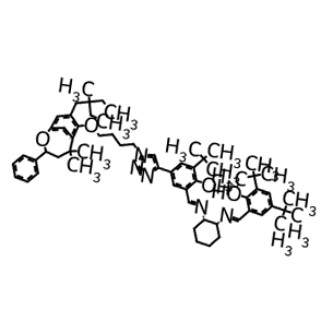 CCC(C)(CC)Cc1cc2cc(c1OCCCCn1cc(-c3cc(/C=N/[C@H]4CCCC[C@H]4/N=C/c4cc(C(C)(C)C)cc(C(C)(C)C)c4O)c(O)c(C(C)(C)C)c3)nn1)C(C)(C)CC(c1ccccc1)O2